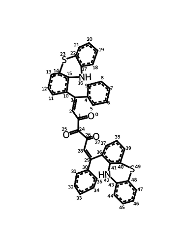 O=C(C=C(c1ccccc1)c1cccc2c1Nc1ccccc1S2)C(=O)C(=O)C=C(c1ccccc1)c1cccc2c1Nc1ccccc1S2